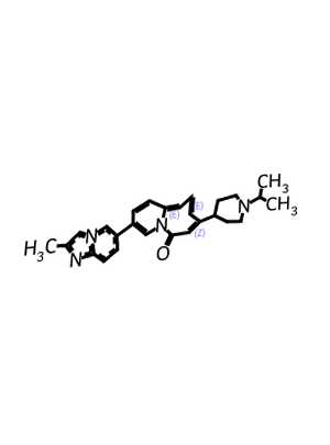 Cc1cn2cc(C3=CN4C(=O)\C=C(C5CCN(C(C)C)CC5)/C=C/C=C/4C=C3)ccc2n1